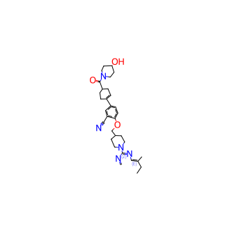 C=N/C(=N\C=C(/C)CC)N1CCC(COc2ccc(C3=CCC(C(=O)N4CCC(O)CC4)CC3)cc2C#N)CC1